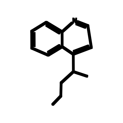 CCCC(C)c1ccnc2ccccc12